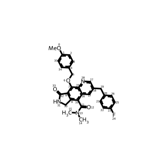 COc1ccc(COc2c3c(c(C(=O)N(C)C)c4cc(Cc5ccc(F)cc5)cnc24)CNC3=O)cc1